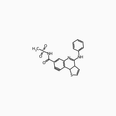 CS(=O)(=O)NC(=O)c1c#cc2c(c1)N=C(Nc1ccccc1)C1C=CSC21